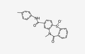 Cc1ccc(NC(=O)c2ccc3c(c2)N(C)C(=O)c2ccccc2[S+]3[O-])cc1